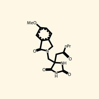 CCCC(=O)CC1(CN2Cc3ccc(OC)cc3C2=O)NC(=O)NC1=O